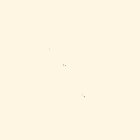 Cc1c(Nc2ccccc2C(F)(F)F)ccc(N)c1F